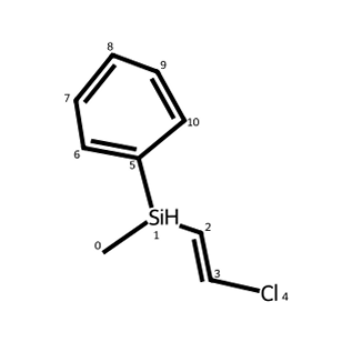 C[SiH](C=CCl)c1ccccc1